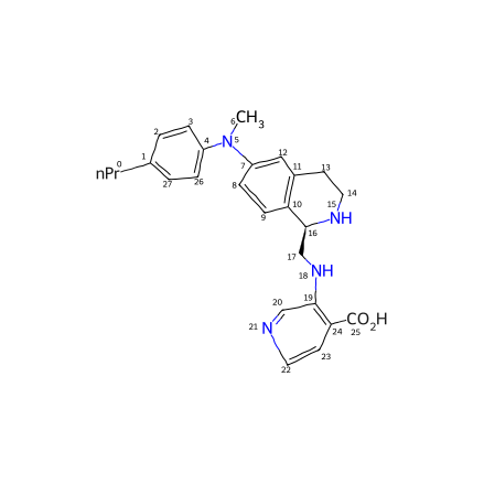 CCCc1ccc(N(C)c2ccc3c(c2)CCN[C@H]3CNc2cnccc2C(=O)O)cc1